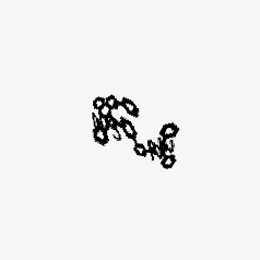 c1ccc(-c2cccc(-c3c(-c4cccc(-c5cccc(-c6nc(-c7ccccc7)nc(-c7ccccc7)n6)c5)c4)sc4c3c(-c3ccccc3)nc3ccccc34)c2)cc1